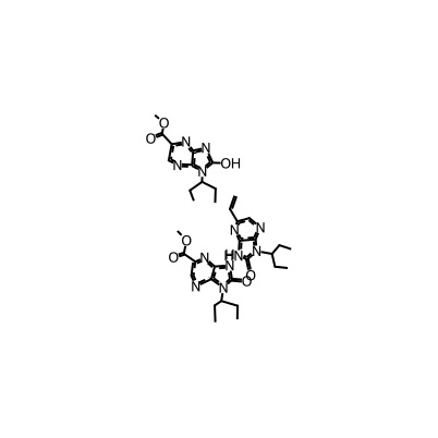 C=Cc1cnc2c(n1)[nH]c(=O)n2C(CC)CC.CCC(CC)n1c(=O)[nH]c2nc(C(=O)OC)cnc21.CCC(CC)n1c(O)nc2nc(C(=O)OC)cnc21